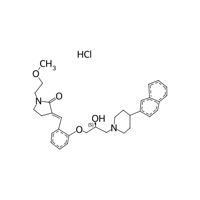 COCCN1CCC(=Cc2ccccc2OC[C@@H](O)CN2CCC(c3ccc4ccccc4c3)CC2)C1=O.Cl